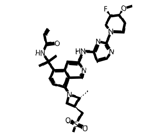 C=CC(=O)NC(C)(C)c1ccc(N2C[C@H](CS(C)(=O)=O)[C@H]2C)c2cnc(Nc3ccnc(N4CC[C@H](OC)[C@H](F)C4)n3)cc12